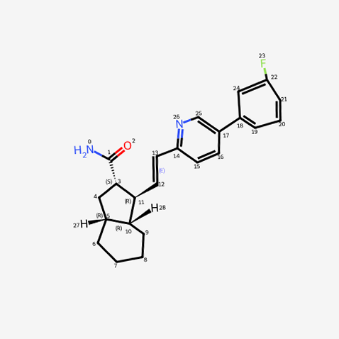 NC(=O)[C@H]1C[C@H]2CCCC[C@H]2[C@@H]1/C=C/c1ccc(-c2cccc(F)c2)cn1